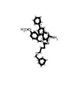 COc1ccc(Cn2c(CCCOCc3ccccc3)nc3c(N)nc4cc(-c5ccccc5)ccc4c32)cc1